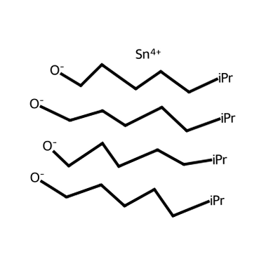 CC(C)CCCCC[O-].CC(C)CCCCC[O-].CC(C)CCCCC[O-].CC(C)CCCCC[O-].[Sn+4]